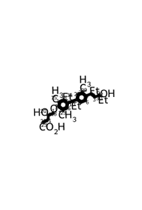 CCC(O)(C=Cc1ccc(C(CC)(CC)c2cc(C)c(OC[C@@H](O)CCC(=O)O)c(C)c2)cc1C)CC